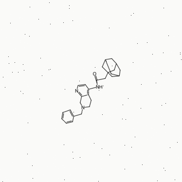 O=C(CC12CC3CC(CC(C3)C1)C2)Nc1ccnc2c1CCN(Cc1ccccc1)C2